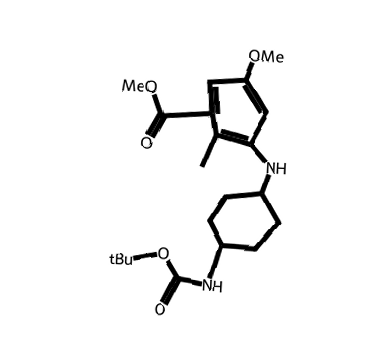 COC(=O)c1cc(OC)cc(NC2CCC(NC(=O)OC(C)(C)C)CC2)c1C